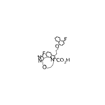 Cc1c2c(nn1C)COCCCCn1c(C(=O)O)c(CCCOc3ccc(F)c4ccccc34)c3ccc(F)c-2c31